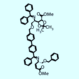 COC(=O)/C=C\[C@@H](COCc1ccccc1)/N=C(\c1ccccc1)c1ccc(-c2ccc(COC[C@@H](N=C(c3ccccc3)c3ccccc3)[C@@H]3OC(C)(C)O[C@@H]3C(=O)OC)cc2)cc1